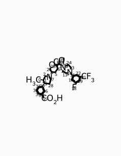 C[C@H]1CN([C@@H]2CC[C@](C)(C(=O)N3CCN(c4cc(F)cc(C(F)(F)F)c4)CC3)OC2)CC[C@@H]1c1cccc(C(=O)O)c1